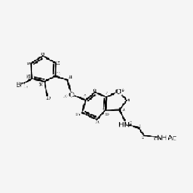 CC(=O)NCCNC1COc2cc(OCc3cccc(Br)c3C)ccc21